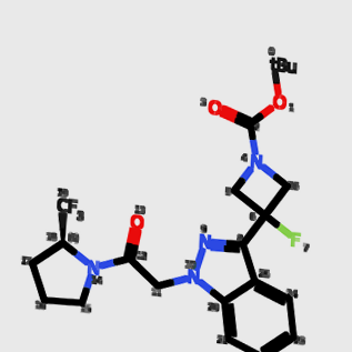 CC(C)(C)OC(=O)N1CC(F)(c2nn(CC(=O)N3CCC[C@H]3C(F)(F)F)c3ccccc23)C1